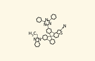 CCc1nc2ccccc2n1-c1ccc2c(c1)-c1ccccc1C21c2ccc(-c3nc(-c4ccccc4)nc(-c4ccccc4)n3)cc2-c2c1ccc1sc(C#N)cc21